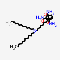 CCCCCCCCCCCCN(CCCCCCCCCCCC)CCCCCCCC1C2(C(N)=O)CC3CC(C(N)=O)(C2)CC1(C(N)=O)C3